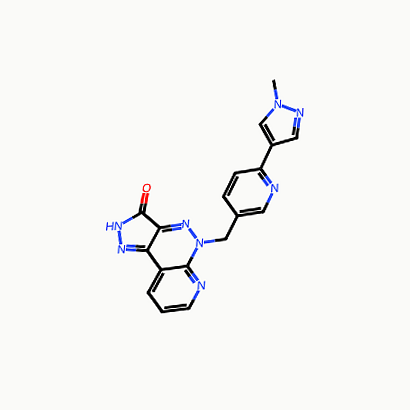 Cn1cc(-c2ccc(Cn3nc4c(=O)[nH]nc-4c4cccnc43)cn2)cn1